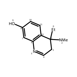 CCC1(NC)CC=Nc2cc(O)ccc21